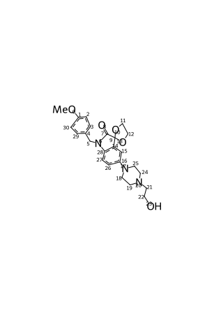 COc1ccc(CN2C(=O)C3(OCCO3)c3cc(N4CCN(CCO)CC4)ccc32)cc1